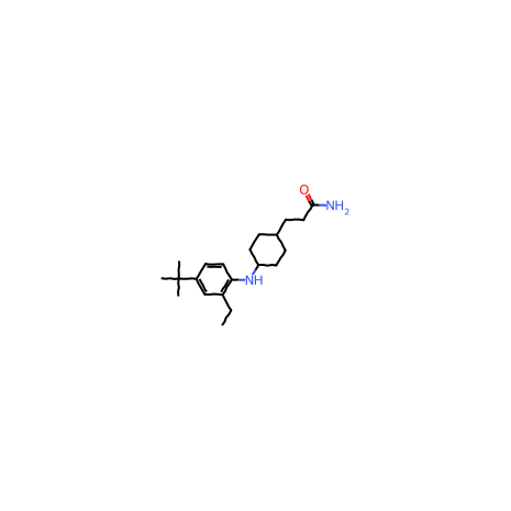 CCc1cc(C(C)(C)C)ccc1NC1CCC(CCC(N)=O)CC1